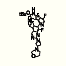 CC(C)(C)OC(=O)Nc1sc2c(F)cnc(-c3c4c(c5cnc(N6CC[C@@H](N7CCCOCC7)C6)nc5c3F)COC4)c2c1C#N